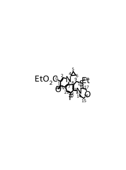 CCOC(=O)c1cn(C2CC2)c2c(CSCC)c(N3CCOCC3)c(F)cc2c1=O